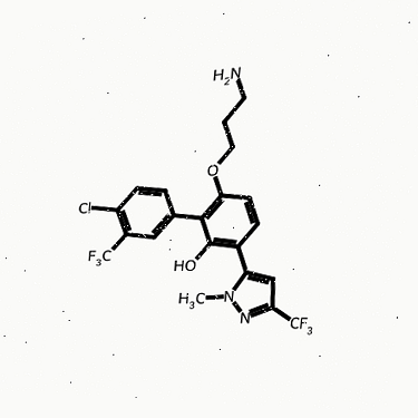 Cn1nc(C(F)(F)F)cc1-c1ccc(OCCCN)c(-c2ccc(Cl)c(C(F)(F)F)c2)c1O